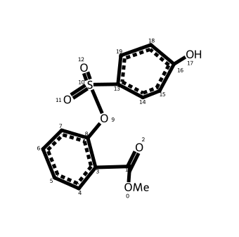 COC(=O)c1ccccc1OS(=O)(=O)c1ccc(O)cc1